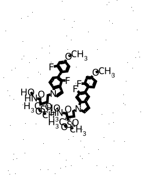 COc1ccc(-c2cc3ccn(CC[C@](C)(C(=O)NO)S(C)(=O)=O)c3cc2F)c(F)c1.COc1ccc(-c2ccc3c(ccn3CC[C@](C)(C(=O)NO)S(C)(=O)=O)c2F)c(F)c1